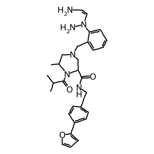 CC(C)C(=O)N1C(C)CN(Cc2ccccc2N(N)/C=C\N)CC1C(=O)NCc1ccc(-c2ccco2)cc1